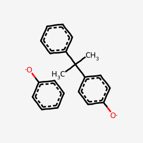 CC(C)(c1ccccc1)c1ccc([O])cc1.[O]c1ccccc1